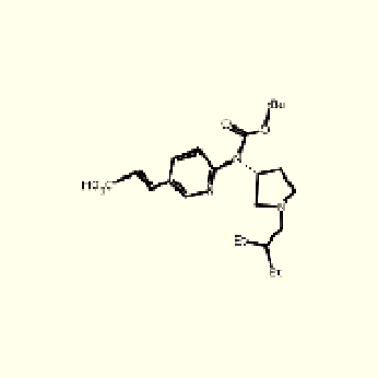 CCC(CC)CN1CC[C@@H](N(C(=O)OC(C)(C)C)c2ccc(/C=C/C(=O)O)cn2)C1